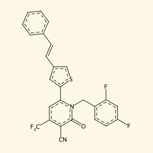 N#Cc1c(C(F)(F)F)cc(-c2cc(/C=C/c3ccccc3)cs2)n(Cc2ccc(F)cc2F)c1=O